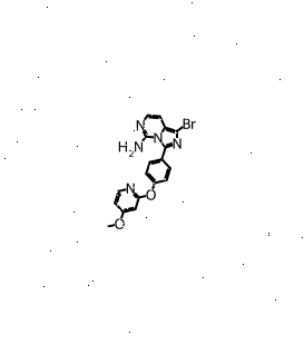 COc1ccnc(Oc2ccc(-c3nc(Br)c4ccnc(N)n34)cc2)c1